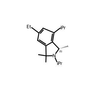 CCc1cc(C(C)C)c2c(c1)C(C)(C)N(C(C)C)[C@H]2C